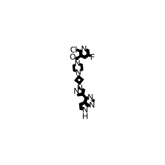 O=C(c1cc(F)cnc1Cl)N1CCN(C2CC(n3cc(-c4ncnc5[nH]ccc45)cn3)C2)CC1